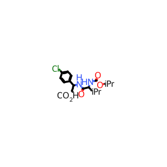 CC(C)OC(=O)NC(C(=O)NC(CC(=O)O)c1ccc(Cl)cc1)C(C)C